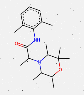 Cc1cccc(C)c1NC(=O)C(C)N1C(C)C(C)OC(C)(C)C1C